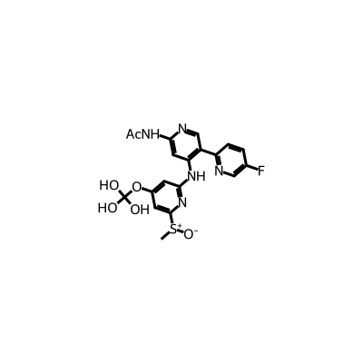 CC(=O)Nc1cc(Nc2cc(OC(O)(O)O)cc([S+](C)[O-])n2)c(-c2ccc(F)cn2)cn1